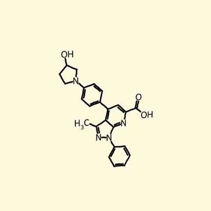 Cc1nn(-c2ccccc2)c2nc(C(=O)O)cc(-c3ccc(N4CCC(O)C4)cc3)c12